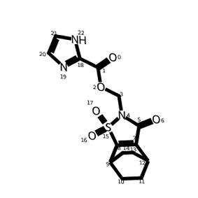 O=C(OCN1C(=O)C2=C(C3CCC2CC3)S1(=O)=O)c1ncc[nH]1